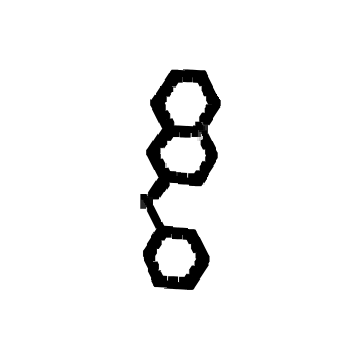 c1ccc(/N=c2\ccn3ccccc3c2)cc1